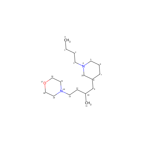 CCCCN1CCCC(CC(C)CCN2CCOCC2)C1